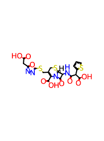 O=C(O)Cc1nnc(SCC2=C(C(=O)O)N3C(=O)C(NC(=O)C(C(=O)O)c4cccs4)[C@H]3SC2)o1